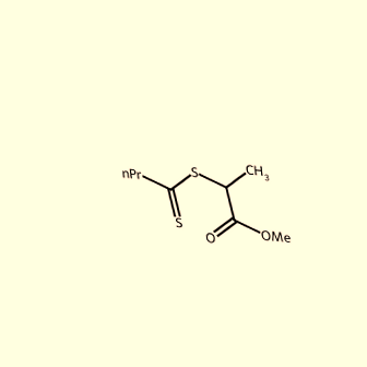 CCCC(=S)SC(C)C(=O)OC